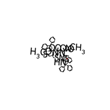 CON=CC(=O)N(c1csc(NC(c2ccccc2)(c2ccccc2)c2ccccc2)n1)C1C(=O)N2C(C(=O)OC(c3ccccc3)c3ccccc3)=C(C=CSC)CSC12